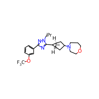 CC(C)n1nc(-c2cccc(OC(F)(F)F)c2)nc1C1[C@H]2CC(N3CCCOCC3)C[C@@H]12